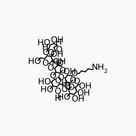 NCCCCCO[C@@H]1OC2O[C@@H]2C(O[C@@H]2OC3O[C@@H]3C(O[C@@H]3OC(CO)[C@@H](O[C@H]4OC5C[C@H](O5)C(O)C4O)C(O)C3O)C2O[C@H]2OC(CO[C@H]3OC(C(=O)O)[C@@H](O)C(O)C3O)[C@@H](O)C(O)C2O)C1O